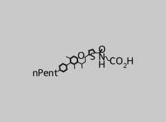 CCCCCc1ccc(-c2c(C)cc3c(c2C)C(C)CC(c2ccc(C(=O)NCCC(=O)O)s2)O3)cc1